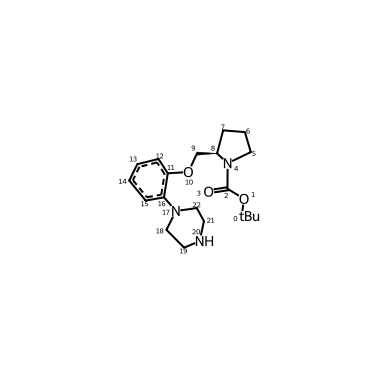 CC(C)(C)OC(=O)N1CCC[C@@H]1COc1ccccc1N1CCNCC1